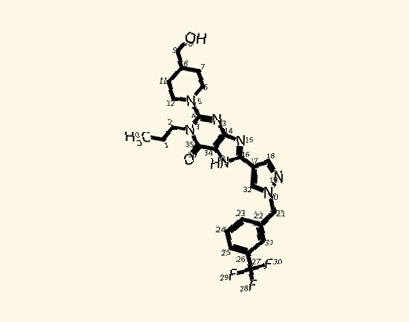 CCCn1c(N2CCC(CO)CC2)nc2nc(-c3cnn(Cc4cccc(C(F)(F)F)c4)c3)[nH]c2c1=O